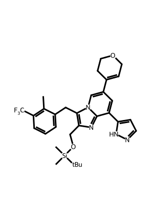 Cc1c(Cc2c(CO[Si](C)(C)C(C)(C)C)nc3c(-c4ccn[nH]4)cc(C4=CCOCC4)cn23)cccc1C(F)(F)F